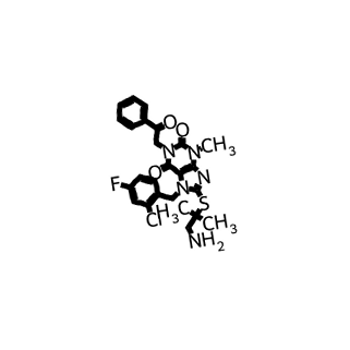 Cn1c(=O)n(CC(=O)c2ccccc2)c(=O)c2c1nc(SC(C)(C)CN)n2Cc1ccc(F)cc1Cl